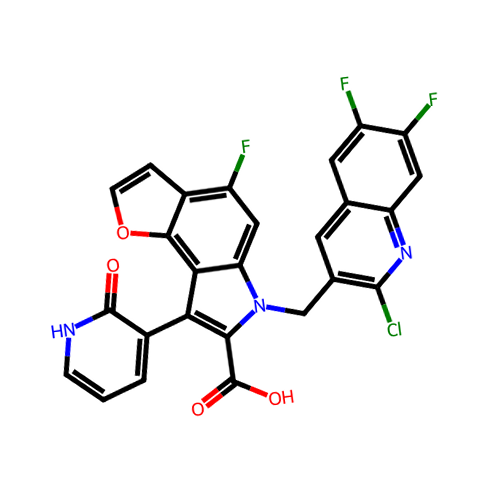 O=C(O)c1c(-c2ccc[nH]c2=O)c2c3occc3c(F)cc2n1Cc1cc2cc(F)c(F)cc2nc1Cl